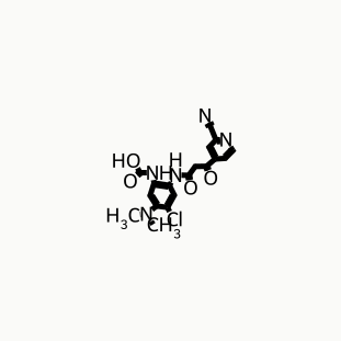 CN(C)c1cc(NC(=O)O)c(NC(=O)CC(=O)c2ccnc(C#N)c2)cc1Cl